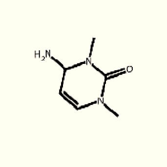 CN1C=CC(N)N(C)C1=O